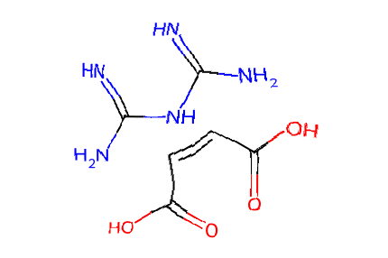 N=C(N)NC(=N)N.O=C(O)/C=C\C(=O)O